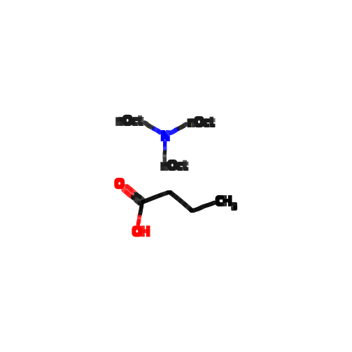 CCCC(=O)O.CCCCCCCCN(CCCCCCCC)CCCCCCCC